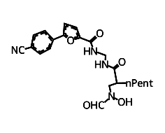 CCCCCC(CN(O)C=O)C(=O)NCNC(=O)c1ccc(-c2ccc(C#N)cc2)o1